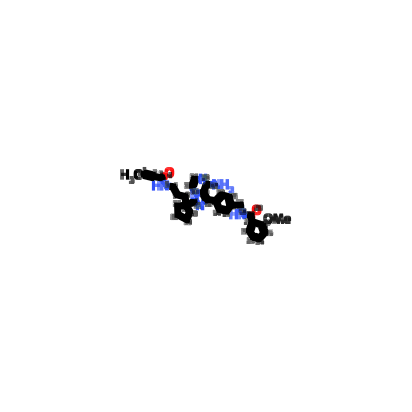 CC#CC(=O)NCCCC1(c2nc(-c3ccc(CNC(=O)c4ccccc4OC)cc3)c3c(N)nccn23)CCCC1